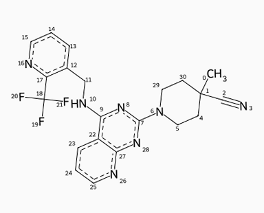 CC1(C#N)CCN(c2nc(NCc3cccnc3C(F)(F)F)c3cccnc3n2)CC1